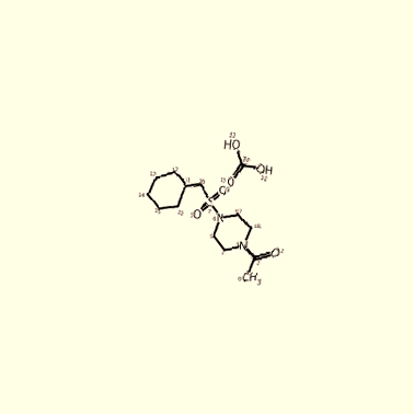 CC(=O)N1CCN(S(=O)(=O)CC2CCCCC2)CC1.O=C(O)O